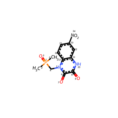 CP(C)(=O)Cn1c(=O)c(=O)[nH]c2cc([N+](=O)[O-])ccc21